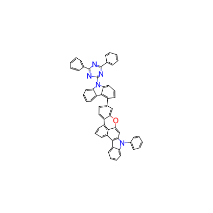 c1ccc(-c2nc(-c3ccccc3)nc(-n3c4ccccc4c4c(-c5ccc6c(c5)Oc5cc7c(c8cccc-6c58)c5ccccc5n7-c5ccccc5)cccc43)n2)cc1